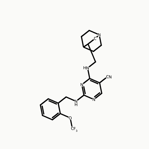 N#Cc1cnc(NCc2ccccc2OC(F)(F)F)nc1NCC1CN2CCC1CC2